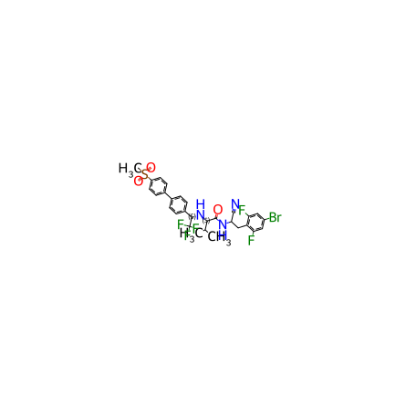 CC(C)[C@H](N[C@@H](c1ccc(-c2ccc(S(C)(=O)=O)cc2)cc1)C(F)(F)F)C(=O)NC(C#N)Cc1c(F)cc(Br)cc1F